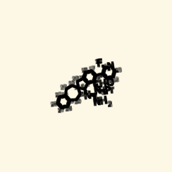 CC(C)N(C=O)/C(N)=N\C1c2cc(-c3cccnc3F)ccc2CC12CCc1ccccc1CC2